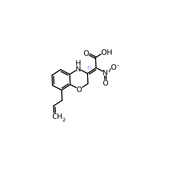 C=CCc1cccc2c1OC/C(=C(/C(=O)O)[N+](=O)[O-])N2